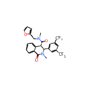 CN(Cc1ccco1)C(=O)C1c2ccccc2C(=O)N(C)C1c1cc(C(F)(F)F)cc(C(F)(F)F)c1